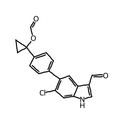 O=COC1(c2ccc(-c3cc4c(C=O)c[nH]c4cc3Cl)cc2)CC1